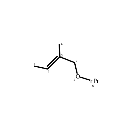 [CH2]CCOCC(C)=CC